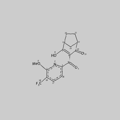 COc1nc(C(=O)C2=C(O)C3CCC(C3)C2=O)ccc1C(F)(F)F